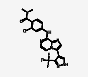 CN(C)C(=O)c1ccc(Nc2nccn3c(-c4c[nH]nc4C(F)(F)F)cnc23)cc1Cl